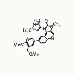 CNc1ncc(-c2ccc3ncc4c(c3c2)n(-c2cn(C)nc2C)c(=O)n4C)cc1COC